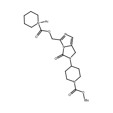 CC(=O)[N+]1(C(=O)OCc2ncc3n2C(=O)N(C2CCN(C(=O)OC(C)(C)C)CC2)C3)CCCCC1